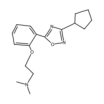 CN(C)CCOc1ccccc1-c1nc(C2CCCC2)no1